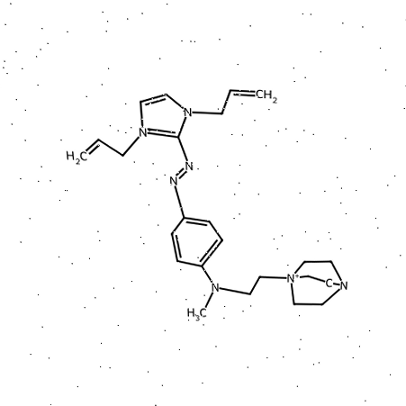 C=CCn1cc[n+](CC=C)c1N=Nc1ccc(N(C)CC[N+]23CCN(CC2)CC3)cc1